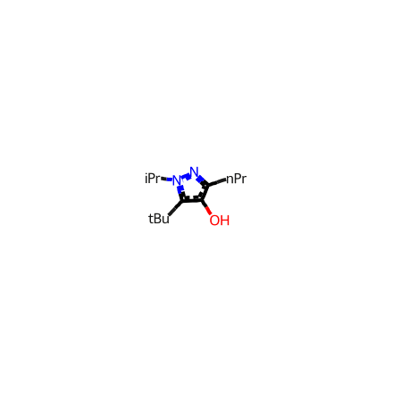 CCCc1nn(C(C)C)c(C(C)(C)C)c1O